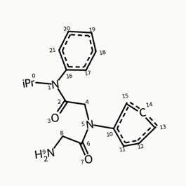 CC(C)N(C(=O)CN(C(=O)CN)c1ccccc1)c1ccccc1